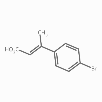 CC(=CC(=O)O)c1ccc(Br)cc1